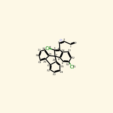 C=C/C=C\C1=C(Cl)C2(c3cc(Cl)ccc31)c1ccccc1-c1ccccc12